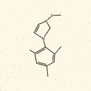 CSN1C=CN(c2c(C)cc(C)cc2C)C1